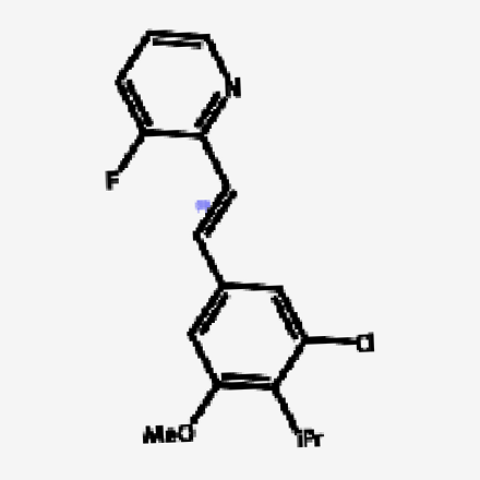 COc1cc(/C=C/c2ncccc2F)cc(Cl)c1C(C)C